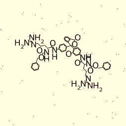 NC(N)=NCCCC(NC(=O)OCc1ccccc1)C(=O)Nc1ccc2c(c1)Oc1cc(NC(=O)C(CCCN=C(N)N)NC(=O)OCc3ccccc3)ccc1C21OC(=O)c2ccccc21